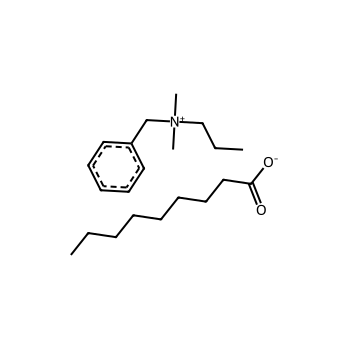 CCCCCCCCC(=O)[O-].CCC[N+](C)(C)Cc1ccccc1